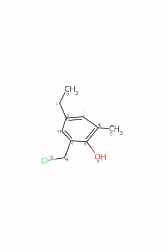 CCc1cc(C)c(O)c(CCl)c1